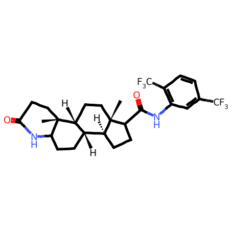 C[C@]12CCC(=O)NC1CC[C@@H]1[C@H]2CC[C@]2(C)C(C(=O)Nc3cc(C(F)(F)F)ccc3C(F)(F)F)CC[C@@H]12